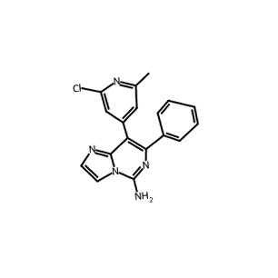 Cc1cc(-c2c(-c3ccccc3)nc(N)n3ccnc23)cc(Cl)n1